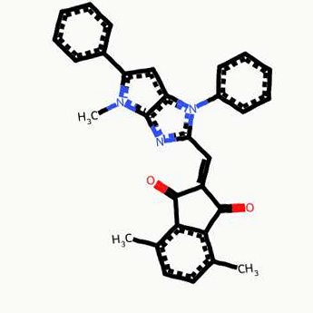 Cc1ccc(C)c2c1C(=O)C(=Cc1nc3c(cc(-c4ccccc4)n3C)n1-c1ccccc1)C2=O